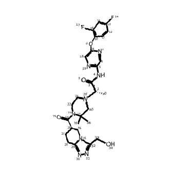 C[C@@H](C(=O)Nc1cnc(Oc2ccc(F)cc2F)cn1)N1CCN(C(=O)[C@@H]2CCc3nnc(CO)n3C2)C(C)(C)C1